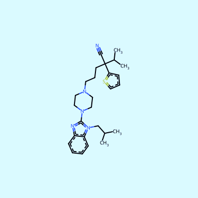 CC(C)Cn1c(N2CCN(CCCC(C#N)(c3cccs3)C(C)C)CC2)nc2ccccc21